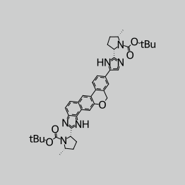 C[C@H]1CC[C@@H](c2ncc(-c3ccc4c(c3)COc3cc5c(ccc6nc([C@@H]7CC[C@H](C)N7C(=O)OC(C)(C)C)[nH]c65)cc3-4)[nH]2)N1C(=O)OC(C)(C)C